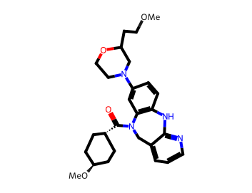 COCCC1CN(c2ccc3c(c2)N(C(=O)[C@H]2CC[C@H](OC)CC2)Cc2cccnc2N3)CCO1